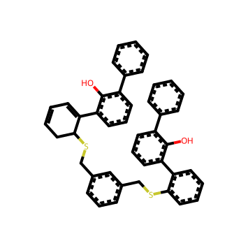 Oc1c(C2=CC=CCC2SCc2cccc(CSc3ccccc3-c3cccc(-c4ccccc4)c3O)c2)cccc1-c1ccccc1